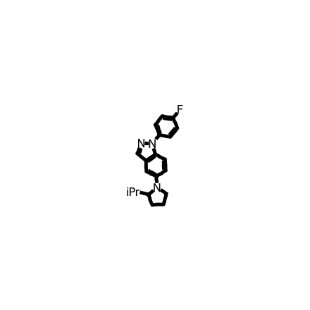 CC(C)C1CCCN1c1ccc2c(cnn2-c2ccc(F)cc2)c1